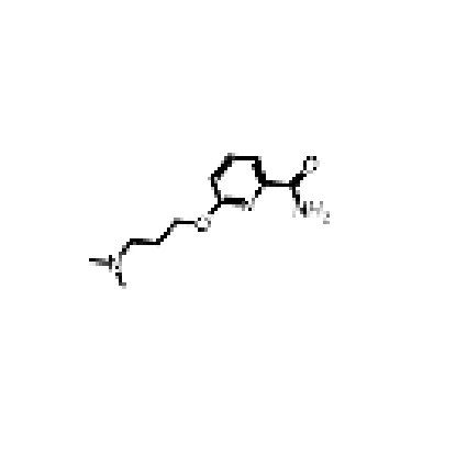 CN(C)CCCOc1cccc(C(N)=O)n1